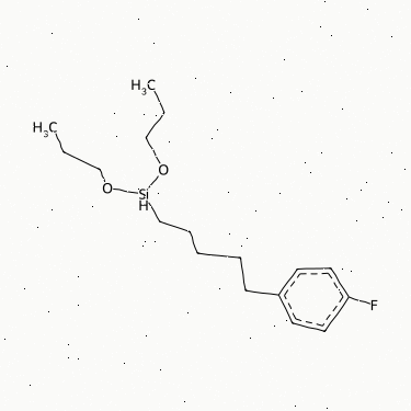 CCCO[SiH](CCCCCc1ccc(F)cc1)OCCC